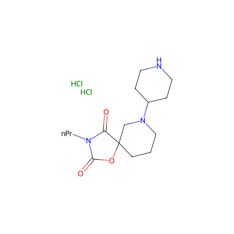 CCCN1C(=O)OC2(CCCN(C3CCNCC3)C2)C1=O.Cl.Cl